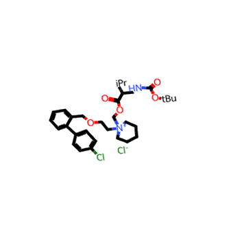 CC(C)C(CNC(=O)OC(C)(C)C)C(=O)OC[N+]1(CCOCc2ccccc2-c2ccc(Cl)cc2)CCCCC1.[Cl-]